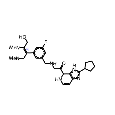 CNC/C(=C(/CO)NC)c1cc(F)cc(CNCC(=O)C2NC=Cc3nc(C4CCCC4)[nH]c32)c1